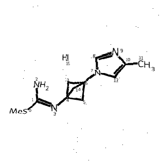 CSC(N)=NC12CC(n3cnc(C)c3)(C1)C2.I